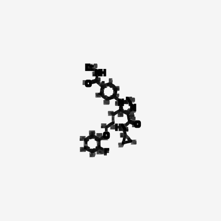 CCNC(=O)c1ccc(-n2nnc(C(=O)NC3CC3)c2CCCOc2ccccc2F)cc1